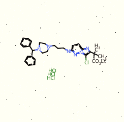 CCOC(=O)C(C)(C)c1nc2ccc(NCCCN3CCN(C(c4ccccc4)c4ccccc4)CC3)nn2c1Cl.Cl.Cl.Cl